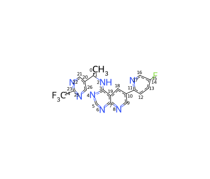 C[C@@H](Nc1ncnc2ncc(-c3ccc(F)cn3)cc12)c1cnc(C(F)(F)F)nc1